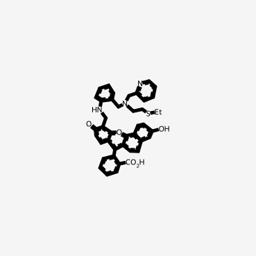 CCSCCN(Cc1ccccn1)Cc1ccccc1NCc1c2oc3c(ccc4cc(O)ccc43)c(-c3ccccc3C(=O)O)c-2ccc1=O